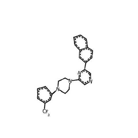 FC(F)(F)c1cccc(N2CCN(c3cncc(-c4ccc5ccccc5c4)n3)CC2)c1